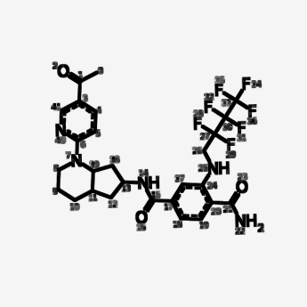 CC(=O)c1ccc(N2CCCC3CC(NC(=O)c4ccc(C(N)=O)c(NCC(F)(F)C(F)(F)C(F)(F)F)c4)CC32)nc1